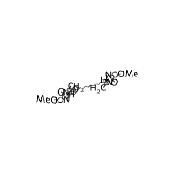 C=C1CN2C(=O)c3cc(OC)ccc3N=C[C@@H]2C1CCCCCCCCCCOOC1C(=C)CN2C(=O)c3cc(OC)ccc3N=C[C@H]12